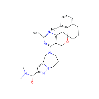 CSc1nc2c(c(N3CCCn4nc(C(=O)N(C)C)cc4C3)n1)COC1(CCCc3cccc(C#N)c31)C2